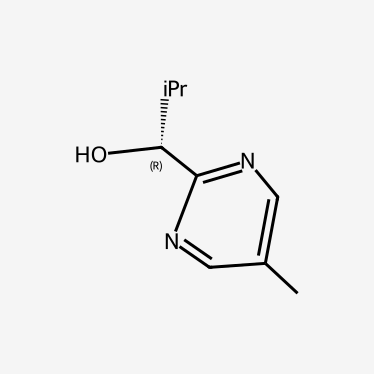 Cc1cnc([C@H](O)C(C)C)nc1